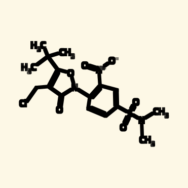 CN(C)S(=O)(=O)c1ccc(-n2oc(C(C)(C)C)c(CCl)c2=O)c([N+](=O)[O-])c1